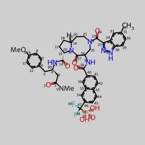 CNC(=O)C[C@@H](Cc1ccc(OC)cc1)NC(=O)[C@@H]1CC[C@@H]2CCN(C(=O)c3n[nH]c4ccc(C)cc34)CC(NC(=O)c3ccc4ccc(C(F)(F)P(=O)(O)O)cc4c3)C(=O)N21